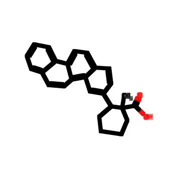 CC1(C(=O)O)CCCCC1c1ccc2ccc3c4ccccc4ccc3c2c1